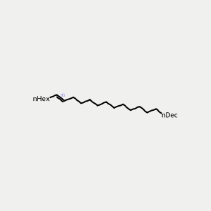 [CH2]CCCCC/C=C/CCCCCCCCCCCCCCCCCCCC[CH2]